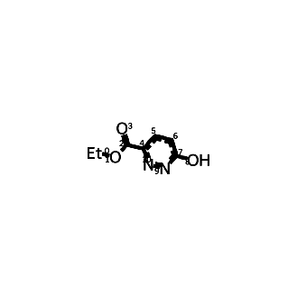 CCOC(=O)c1ccc(O)nn1